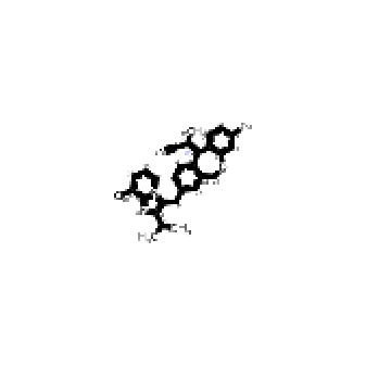 C/C(C#N)=C1/c2ccc(Cc3c(C(C)C)nc4c(Cl)cccn34)cc2COc2cc(F)ccc21